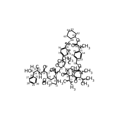 CC[C@H](C)[C@@H]([C@@H](CC(=O)N1CCC[C@@H]1[C@H](OC)[C@@H](C)C(=O)N[C@H](C)[C@@H](O)c1ccccc1)OC)N(C)C(=O)[C@@H](NC(=O)[C@H](C(C)C)N(C)C(=O)OCc1ccc(N(C)C(=O)O[C@@H]2CCCC[C@H]2SSc2ccccn2)cc1)C(C)C